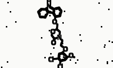 COc1cc(Cl)c(Cl)cc1OCCN1CC(COc2cccc3[nH]c4ccccc4c23)OCC1=O